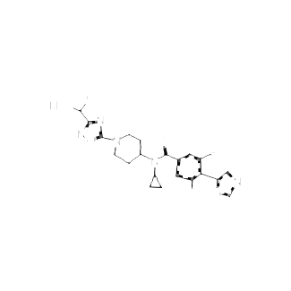 CC(C)c1noc(N2CCC(N(C(=O)c3cc(F)c(-c4cnco4)c(F)c3)C3CC3)CC2)n1